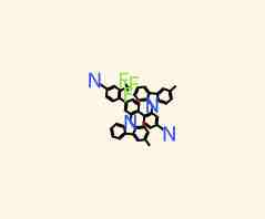 Cc1ccc2c(c1)c1ccccc1n2-c1cc(C#N)ccc1-c1ccc(-c2ccc(C#N)cc2C(F)(F)F)cc1-n1c2ccccc2c2cc(C)ccc21